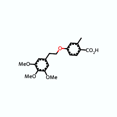 COc1cc(CCOc2ccc(C(=O)O)c(C)c2)cc(OC)c1OC